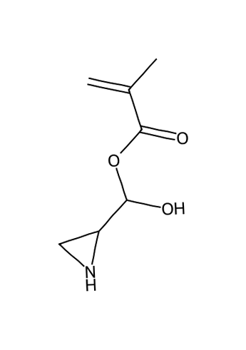 C=C(C)C(=O)OC(O)C1CN1